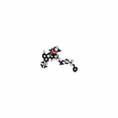 COc1nc(-c2cc(O[Si](C(C)C)(C(C)C)C(C)C)cc3ccc(F)c(C#C[Si](C(C)C)(C(C)C)C(C)C)c23)c(F)c2nc(OCC3(CN4CCN(C(=O)OCc5ccccc5)CC4)CC3)nc(N3CCCOC4CC43)c12